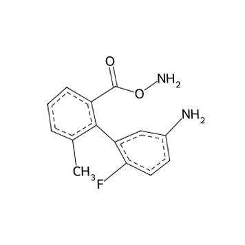 Cc1cccc(C(=O)ON)c1-c1cc(N)ccc1F